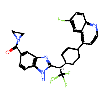 O=C(c1ccc2[nH]c([C@@H](C3CCC(c4ccnc5ccc(F)cc45)CC3)C(F)(F)F)nc2c1)N1CC1